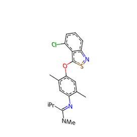 CNC(=Nc1cc(C)c(Oc2snc3cccc(Cl)c23)cc1C)C(C)C